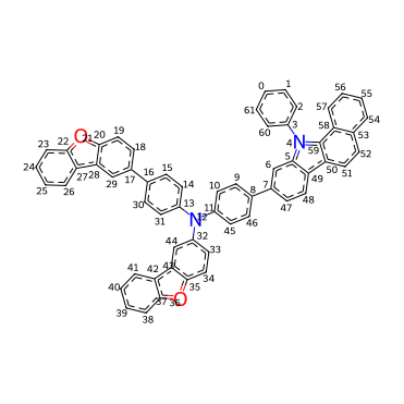 c1ccc(-n2c3cc(-c4ccc(N(c5ccc(-c6ccc7oc8ccccc8c7c6)cc5)c5ccc6oc7ccccc7c6c5)cc4)ccc3c3ccc4ccccc4c32)cc1